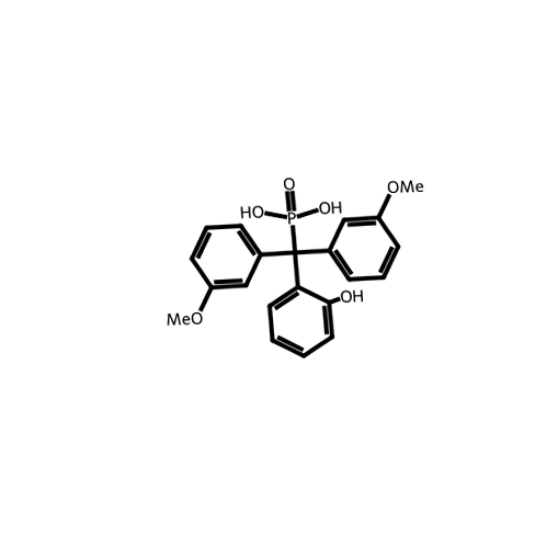 COc1cccc(C(c2cccc(OC)c2)(c2ccccc2O)P(=O)(O)O)c1